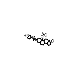 CC(=O)OCC12CCC(=NOC3CCNC3)CC1CCC1C3CCC(=O)C3(C)CCC12